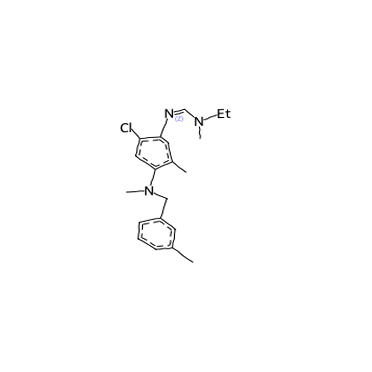 CCN(C)/C=N\c1cc(C)c(N(C)Cc2cccc(C)c2)cc1Cl